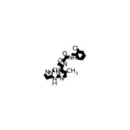 Cc1cnc(Nc2ccnn2C)nc1-c1coc(C(=O)NCc2ccccc2Cl)n1